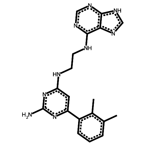 Cc1cccc(-c2cc(NCCNc3ncnc4[nH]cnc34)nc(N)n2)c1C